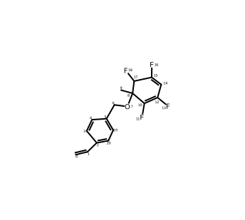 C=Cc1ccc(COC2(C)C(F)=C(F)C=C(F)C2F)cc1